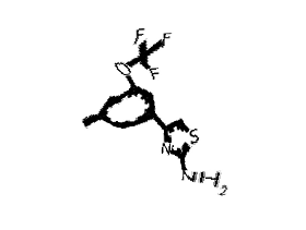 Cc1cc(OC(F)(F)F)cc(-c2csc(N)n2)c1